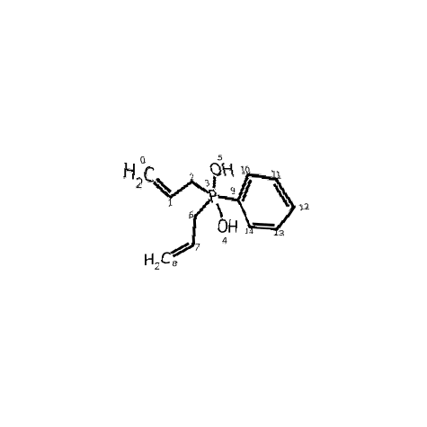 C=CCP(O)(O)(CC=C)c1ccccc1